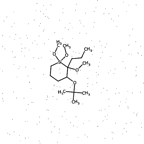 CCCC1(OC)C(OC(C)(C)C)CCC[Si]1(OC)OC